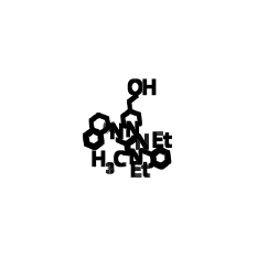 CCc1cccc(CC)c1-c1nc(C)c2c(n1)N1CCC(CCO)CC1N([C@H]1CCCc3ccccc31)C2